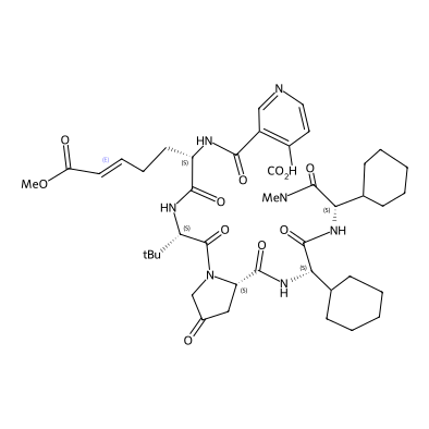 CNC(=O)[C@@H](NC(=O)[C@@H](NC(=O)[C@@H]1CC(=O)CN1C(=O)[C@@H](NC(=O)[C@H](CC/C=C/C(=O)OC)NC(=O)c1cnccc1C(=O)O)C(C)(C)C)C1CCCCC1)C1CCCCC1